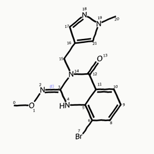 CO/N=c1\[nH]c2c(Br)cccc2c(=O)n1Cc1cnn(C)c1